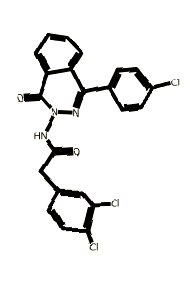 O=C(Cc1ccc(Cl)c(Cl)c1)Nn1nc(-c2ccc(Cl)cc2)c2ccccc2c1=O